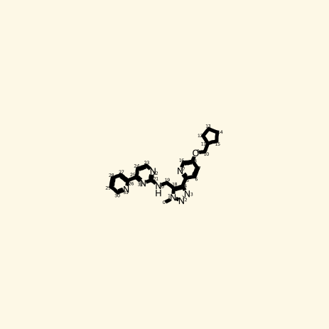 Cn1nnc(-c2ccc(OCC3CCCC3)cn2)c1CNc1nccc(-c2ccccn2)n1